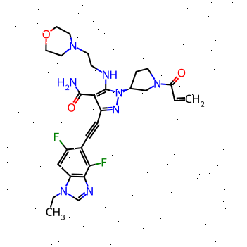 C=CC(=O)N1CC[C@H](n2nc(C#Cc3c(F)cc4c(ncn4CC)c3F)c(C(N)=O)c2NCCN2CCOCC2)C1